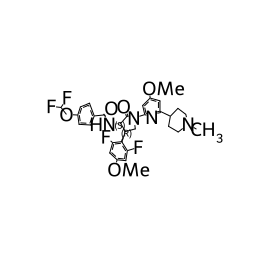 COc1cc(C2CCN(C)CC2)nc(N2C[C@@H](c3c(F)cc(OC)cc3F)[C@H](NC(=O)c3ccc(OC(F)F)cc3)C2=O)c1